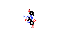 COc1ccc(C)c(-n2nc3c(c2N)c(=O)[nH]c2cc(OC)cc(OC)c23)c1